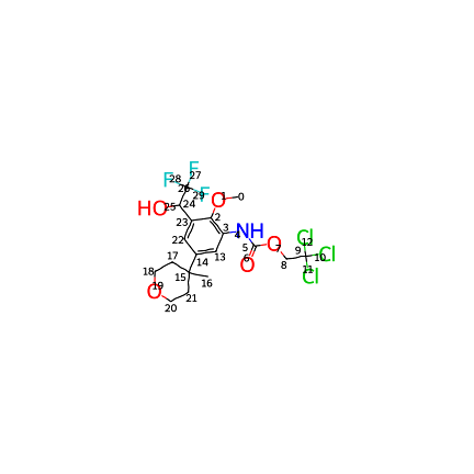 COc1c(NC(=O)OCC(Cl)(Cl)Cl)cc(C2(C)CCOCC2)cc1C(O)C(F)(F)F